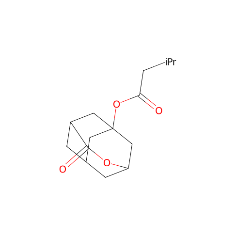 CC(C)CC(=O)OC12CC3CC(C1)OC(=O)C(C3)C2